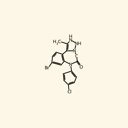 CC1=C2c3ccc(Br)cc3N(c3ccc(Cl)cc3)C(=O)CN2NN1